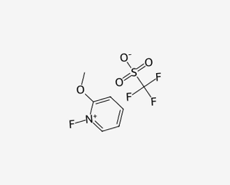 COc1cccc[n+]1F.O=S(=O)([O-])C(F)(F)F